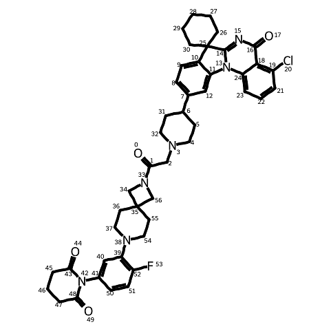 O=C(CN1CCC(c2ccc3c(c2)-n2c(nc(=O)c4c(Cl)cccc42)C32CCCCC2)CC1)N1CC2(CCN(c3cc(N4C(=O)CCCC4=O)ccc3F)CC2)C1